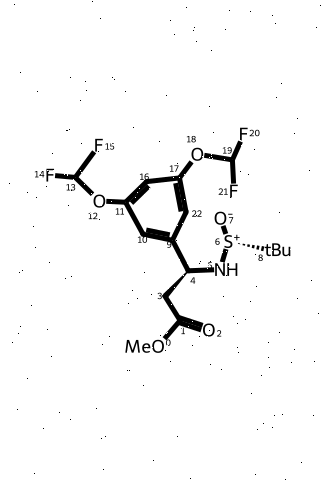 COC(=O)C[C@H](N[S@+]([O-])C(C)(C)C)c1cc(OC(F)F)cc(OC(F)F)c1